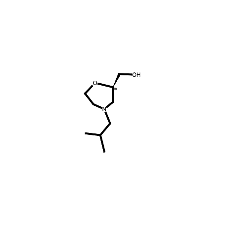 C[C](C)CN1CCO[C@@H](CO)C1